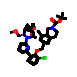 COC[C@H]1N(c2cccc(-c3cccc(Cl)c3OCc3cc(C)c4c(c3)CCN(C(=O)OC(C)(C)C)C4)n2)CC[C@H]2C[C@]21C(=O)OC